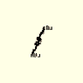 CCCCC#CC=CC#Cc1ccc(-c2ccc(C#CC=CC#CCCCC)cc2)cc1